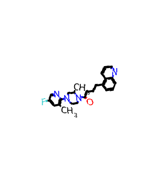 Cc1cc(F)cnc1N1CCN(C(=O)CCCc2cccc3ncccc23)C(C)C1